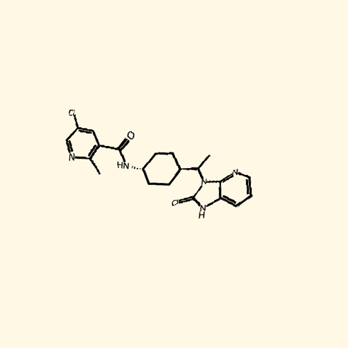 Cc1ncc(Cl)cc1C(=O)N[C@H]1CC[C@H](C(C)n2c(=O)[nH]c3cccnc32)CC1